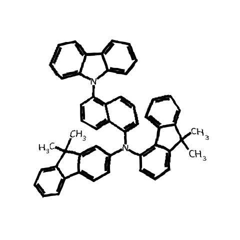 CC1(C)c2ccccc2-c2ccc(N(c3cccc4c3-c3ccccc3C4(C)C)c3cccc4c(-n5c6ccccc6c6ccccc65)cccc34)cc21